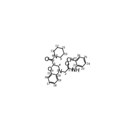 O=C(CN1CC(C(=O)N2CCCCC2)Oc2ccccc21)Nc1ccccc1Cl